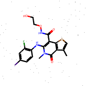 Cc1csc2c(C(=O)NOCCO)c(Nc3ccc(I)cc3F)n(C)c(=O)c12